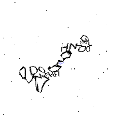 CC(=O)N1CCC[C@H]1C(=O)Nc1ccc(/C=C/c2ccc(NC(=O)[C@@H]3CCCN3C(=O)Cc3ccccc3)cc2)cc1